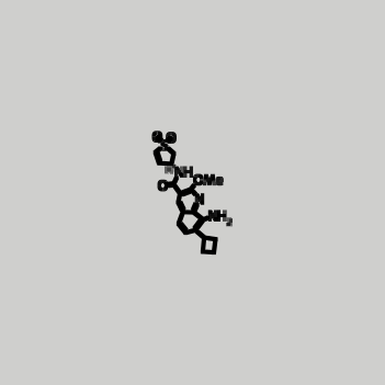 COc1nc2c(N)c(C3CCC3)ccc2cc1C(=O)N[C@@H]1C=CS(=O)(=O)C1